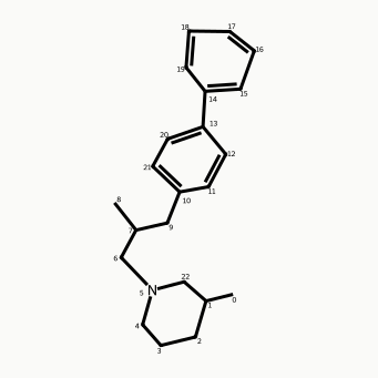 CC1CCCN(CC(C)Cc2ccc(-c3ccccc3)cc2)C1